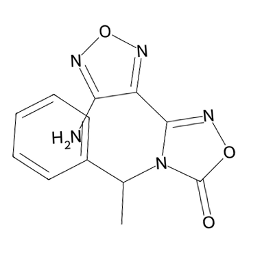 CC(c1ccccc1)n1c(-c2nonc2N)noc1=O